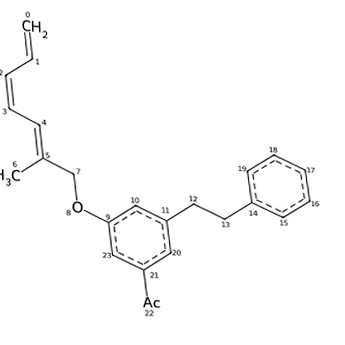 C=C/C=C\C=C(/C)COc1cc(CCc2ccccc2)cc(C(C)=O)c1